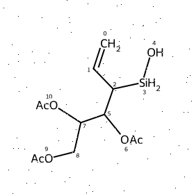 C=CC([SiH2]O)C(OC(C)=O)C(COC(C)=O)OC(C)=O